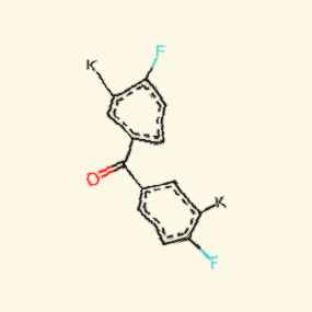 O=C(c1ccc(F)[c]([K])c1)c1ccc(F)[c]([K])c1